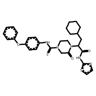 O=C(Nc1nccs1)C(CC1CCCCC1)N1CCN(C(=S)Nc2ccc(Oc3ccccc3)cc2)CC1=O